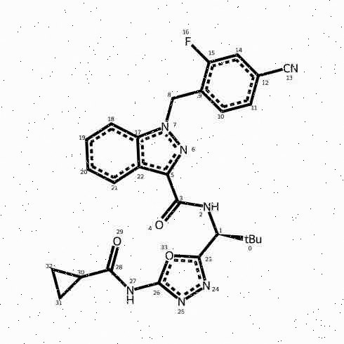 CC(C)(C)[C@H](NC(=O)c1nn(Cc2ccc(C#N)cc2F)c2ccccc12)c1nnc(NC(=O)C2CC2)o1